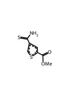 COC(=O)c1cc(C(N)=S)cs1